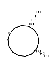 C1CCCCCCNCCCCCC1.Cl.Cl.Cl.Cl.Cl.Cl.Cl